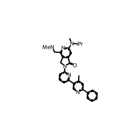 CNCc1nc(N(C)C(C)C)cc2c1CN(c1cccc(-c3cnc(-c4ccccc4)cc3C)n1)C2=O